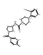 Cc1ccc(C(=O)N2CC[C@@H](NC(=O)N3CCN(c4ccccc4F)CC3)C2)cn1